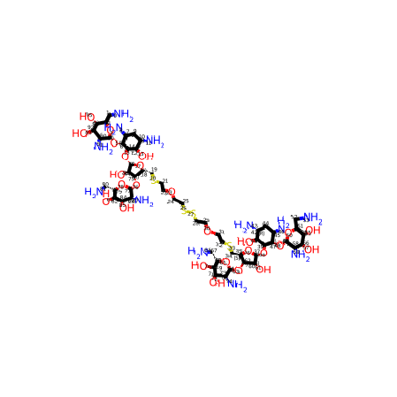 NCC1O[C@H](O[C@@H]2C(N)C[C@@H](N)C(O)C2O[C@@H]2O[C@H](CSCCOCCSSCCOCCSC[C@H]3O[C@@H](OC4C(O)[C@H](N)CC(N)[C@H]4O[C@H]4OC(CN)[C@@H](O)C(O)C4N)[C@@H](O)[C@H]3OC3O[C@@H](CN)C(O)C(O)[C@H]3N)[C@H](OC3O[C@@H](CN)C(O)C(O)[C@H]3N)[C@@H]2O)C(N)C(O)[C@@H]1O